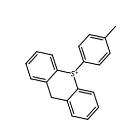 Cc1ccc([S+]2c3ccccc3Cc3ccccc32)cc1